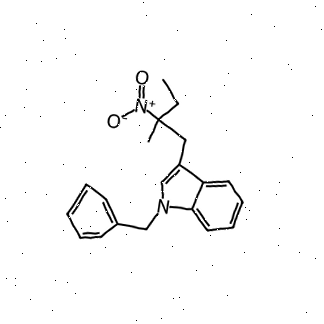 CCC(C)(Cc1cn(Cc2ccccc2)c2ccccc12)[N+](=O)[O-]